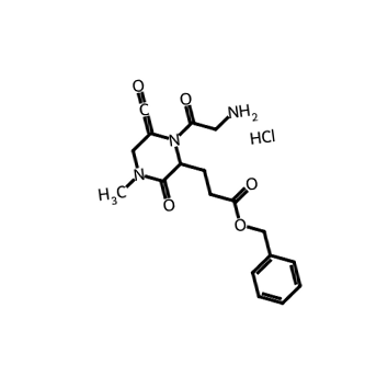 CN1CC(=C=O)N(C(=O)CN)C(CCC(=O)OCc2ccccc2)C1=O.Cl